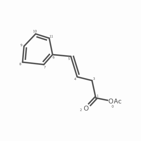 CC(=O)OC(=O)CC=Cc1ccccc1